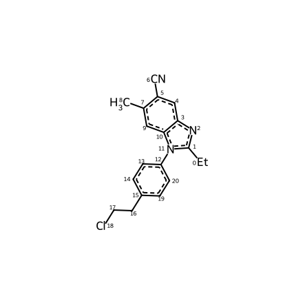 CCc1nc2cc(C#N)c(C)cc2n1-c1ccc(CCCl)cc1